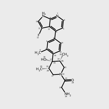 Cc1cc(-c2ccnc3[nH]cc(F)c23)ccc1[C@@]1(O)[C@H](C)CN(C(=O)CN)C[C@@H]1C